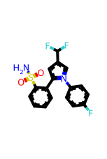 NS(=O)(=O)c1ccccc1-c1cc(C(F)F)cn1-c1ccc(F)cc1